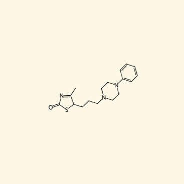 CC1=NC(=O)SC1CCCN1CCN(c2ccccc2)CC1